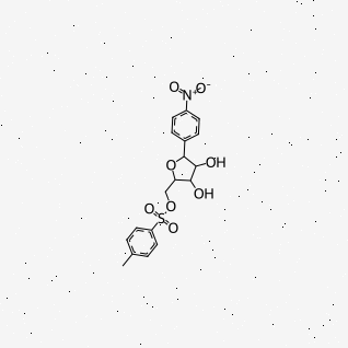 Cc1ccc(S(=O)(=O)OCC2OC(c3ccc([N+](=O)[O-])cc3)C(O)C2O)cc1